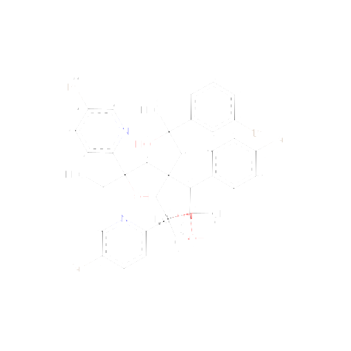 CCC(O)(CC(CC(C)(O)c1cccc(Br)c1)(CC(C)(O)c1ccc(Br)cn1)C(c1ccc(Br)cc1)C(C)(C)O)c1ccc(Br)cn1